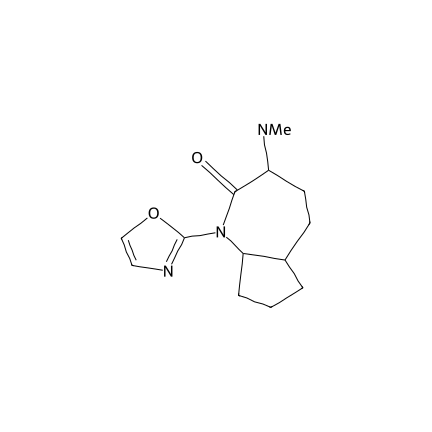 CNC1CCC2CCCC2N(c2ncco2)C1=O